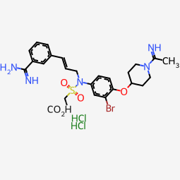 CC(=N)N1CCC(Oc2ccc(N(C/C=C/c3cccc(C(=N)N)c3)S(=O)(=O)CC(=O)O)cc2Br)CC1.Cl.Cl